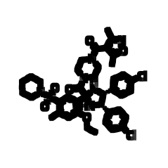 CCOc1cc(C)c(S(=O)(=O)N2CCCCC2)cc1C1(C(=O)N2CCN(C(=O)c3c(C)noc3C)CC2)N[C@H](c2ccc(Cl)cc2)[C@H](c2ccc(Cl)cc2)N1